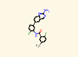 Nc1ncc2cc(-c3ccc(F)c(NC(=O)c4cc(C(F)(F)F)ccc4F)c3)ccc2n1